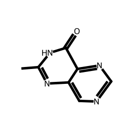 Cc1nc2cncnc2c(=O)[nH]1